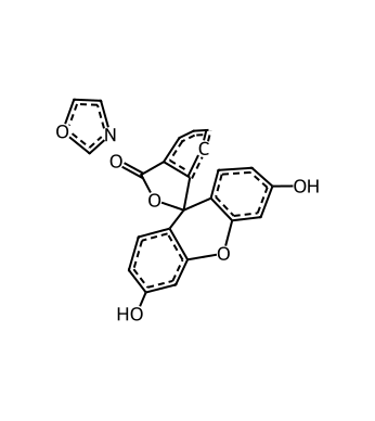 O=C1OC2(c3ccc(O)cc3Oc3cc(O)ccc32)c2ccccc21.c1cocn1